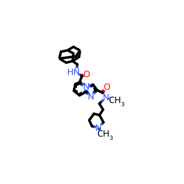 CN1CCCC(CCN(C)C(=O)c2cn3c(C(=O)NCC45CC6CC(CC(C6)C4)C5)cccc3n2)C1